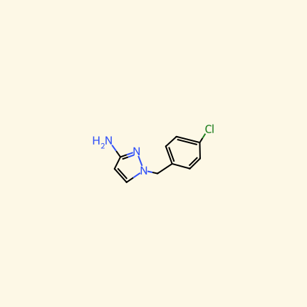 Nc1ccn(Cc2ccc(Cl)cc2)n1